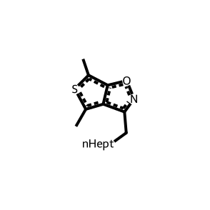 CCCCCCCCc1noc2c(C)sc(C)c12